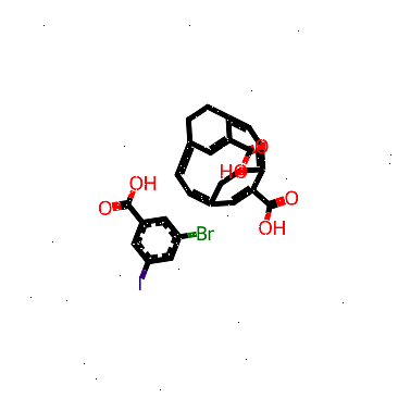 O=C(O)C1=CC2=CC=C3C=C(C(=O)O)C(=CC=C1CC2)CC3.O=C(O)c1cc(Br)cc(I)c1